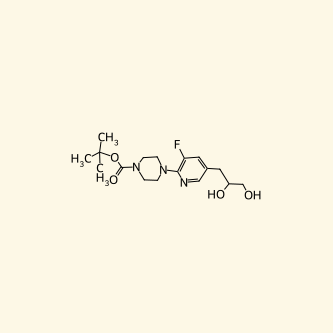 CC(C)(C)OC(=O)N1CCN(c2ncc(CC(O)CO)cc2F)CC1